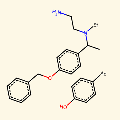 CC(=O)c1ccc(O)cc1.CCN(CCN)C(C)c1ccc(OCc2ccccc2)cc1